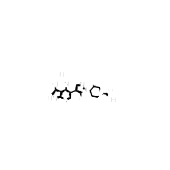 CNc1c(-c2cnn([C@H]3CCN(C(C)=O)C[C@@H]3F)c2Cl)cnc2[nH]cc(Cl)c12